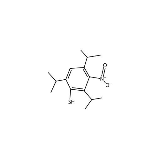 CC(C)c1cc(C(C)C)c([N+](=O)[O-])c(C(C)C)c1S